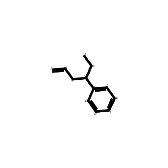 [CH]=CCC(CC)c1ccccc1